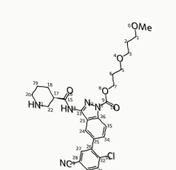 COCCCOCCCOC(=O)n1nc(NC(=O)[C@@H]2CCCNC2)c2cc(-c3cc(C#N)ccc3Cl)ccc21